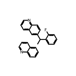 CC(c1ccc2ncccc2c1)c1ccccc1F.c1ccc2ncccc2c1